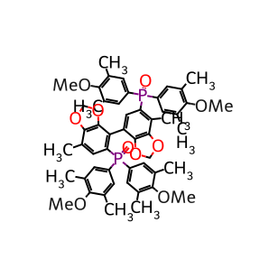 COc1c(C)cc(P(=O)(c2cc(C)c(OC)c(C)c2)c2cc(-c3c(P(=O)(c4cc(C)c(OC)c(C)c4)c4cc(C)c(OC)c(C)c4)cc(C)c4c3OCO4)c3c(c2C)OCO3)cc1C